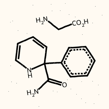 NC(=O)C1(c2ccccc2)C=CC=CN1.NCC(=O)O